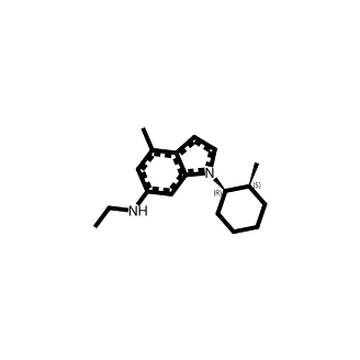 CCNc1cc(C)c2ccn([C@@H]3CCCC[C@@H]3C)c2c1